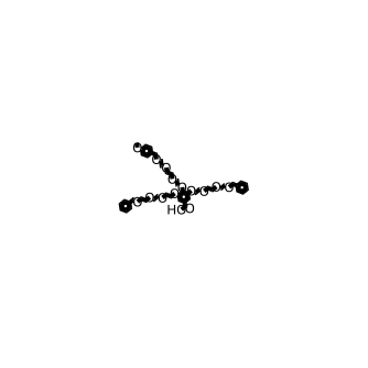 COc1ccc(COCCOCCOCCOc2c(OCCOCCOCCOCc3ccccc3)cc(C(=O)O)cc2OCCOCCOCCOCc2ccccc2)cc1